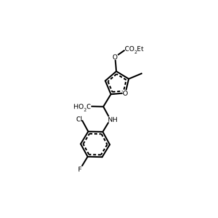 CCOC(=O)Oc1cc(C(Nc2ccc(F)cc2Cl)C(=O)O)oc1C